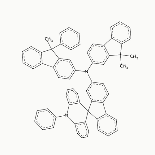 CC1(C)c2ccccc2-c2ccc(N(c3ccc4c(c3)C(C)(c3ccccc3)c3ccccc3-4)c3ccc4c(c3)C3(c5ccccc5-4)c4ccccc4N(c4ccccc4)c4ccccc43)cc21